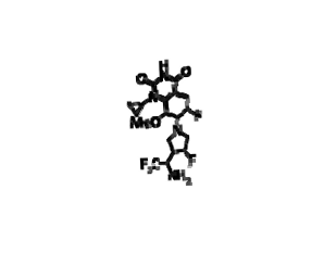 COC1=c2c(c(=O)[nH]c(=O)n2C2CC2)=CC(F)C1N1CC(F)C(C(N)C(F)(F)F)C1